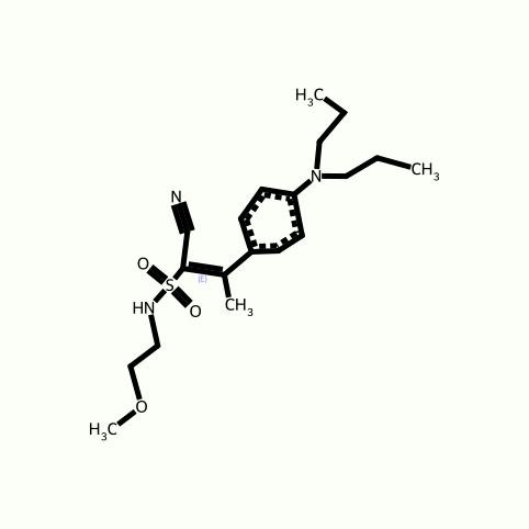 CCCN(CCC)c1ccc(/C(C)=C(\C#N)S(=O)(=O)NCCOC)cc1